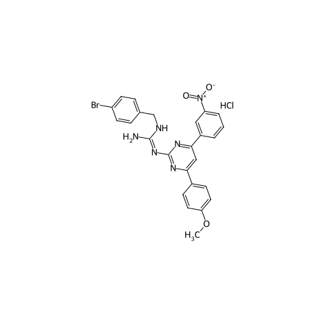 COc1ccc(-c2cc(-c3cccc([N+](=O)[O-])c3)nc(N=C(N)NCc3ccc(Br)cc3)n2)cc1.Cl